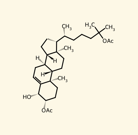 CC(=O)O[C@H]1CC[C@@]2(C)C(=CC[C@H]3[C@@H]4CC[C@H]([C@H](C)CCCC(C)(C)OC(C)=O)[C@@]4(C)CC[C@@H]32)[C@H]1O